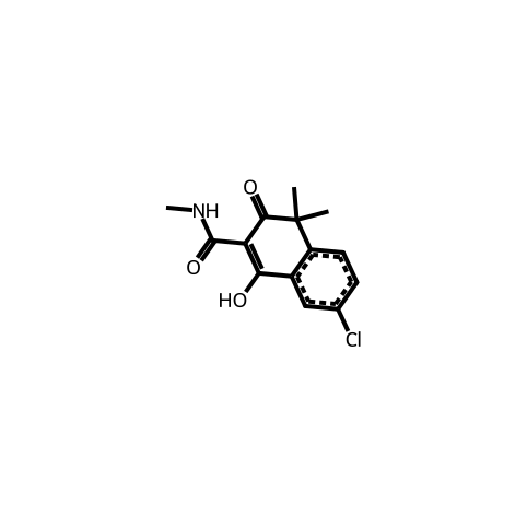 CNC(=O)C1=C(O)c2cc(Cl)ccc2C(C)(C)C1=O